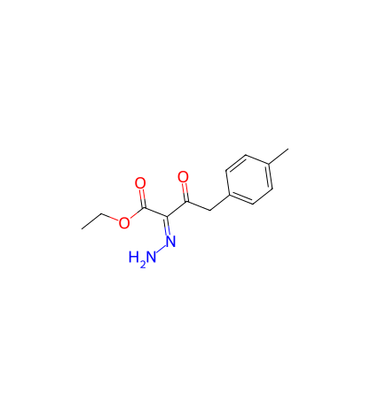 CCOC(=O)C(=NN)C(=O)Cc1ccc(C)cc1